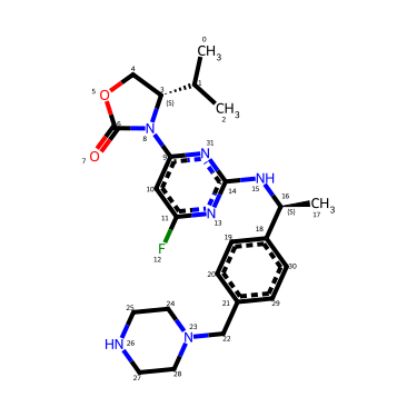 CC(C)[C@H]1COC(=O)N1c1cc(F)nc(N[C@@H](C)c2ccc(CN3CCNCC3)cc2)n1